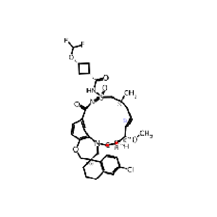 CO[C@H]1/C=C/C[C@H](C)CS(=O)(NC(=O)[C@H]2C[C@@H](OC(F)F)C2)=NC(=O)c2ccc3c(c2)N(C[C@@]2(CCCc4cc(Cl)ccc42)CO3)C2CC[C@H]21